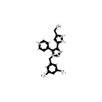 OCc1cc(-c2nnn(Cc3cc(C(F)(F)F)cc(C(F)(F)F)c3)c2-c2ccncc2)on1